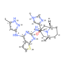 Cc1cc(Nc2nc(N[C@@H]3C[C@H]4CCC[C@@H](C3)N4C(=O)c3cn(C)cn3)nc3sccc23)n[nH]1